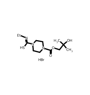 Br.CCN=C(S)N1CCN(C(=O)OCC(C)(C)O)CC1